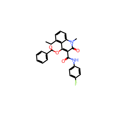 CCc1cccc2c1c(OC(=O)c1ccccc1)c(C(=O)Nc1ccc(F)cc1)c(=O)n2C